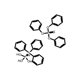 OP(O)(O)=[SH](c1ccccc1)(c1ccccc1)c1ccccc1.S=P(Oc1ccccc1)(Oc1ccccc1)Oc1ccccc1